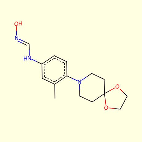 Cc1cc(N/C=N/O)ccc1N1CCC2(CC1)OCCO2